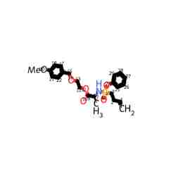 C=CCCP(=O)(N[C@@H](C)C(=O)OCCOCc1ccc(OC)cc1)Oc1ccccc1